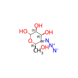 C[C@H]1OC(O)[C@@H](O)[C@@H](O)[C@@]1(O)N=[N+]=[N-]